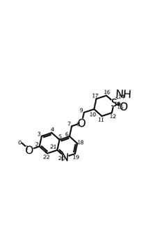 COc1ccc2c(COCC3CCS(=N)(=O)CC3)ccnc2c1